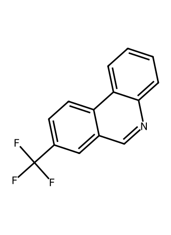 FC(F)(F)c1ccc2c(cnc3ccccc32)c1